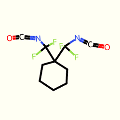 O=C=NC(F)(F)C1(C(F)(F)N=C=O)CCCCC1